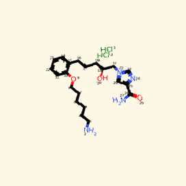 Cl.Cl.NCCCCCCOc1ccccc1CCC[C@H](O)Cn1cnc(C(N)=O)c1